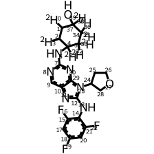 [2H]C1C([2H])C([2H])(Nc2ncc3nc(Nc4c(F)cc(F)cc4F)n(C4CCOC4)c3n2)C([2H])([2H])C([2H])([2H])C1([2H])O